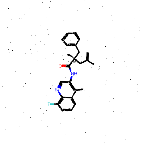 C=C(C)C[C@@](C)(Cc1ccccc1)C(=O)Nc1cnc2c(F)cccc2c1C